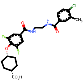 Cc1cc(C(=O)NCCNC(=O)c2cc(F)c(O[C@H]3CC[C@@H](C(=O)O)CC3)c(F)c2)ccc1Cl